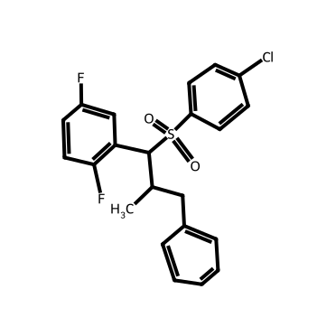 CC(Cc1ccccc1)C(c1cc(F)ccc1F)S(=O)(=O)c1ccc(Cl)cc1